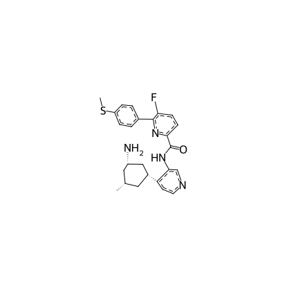 CSc1ccc(-c2nc(C(=O)Nc3cnccc3[C@@H]3C[C@H](C)C[C@H](N)C3)ccc2F)cc1